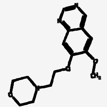 COc1cc2cncnc2cc1OCCN1CCOCC1